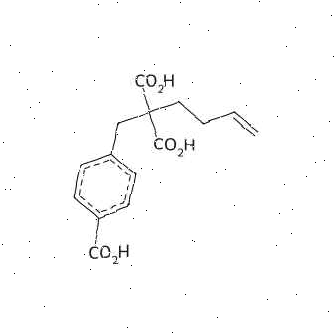 C=CCCC(Cc1ccc(C(=O)O)cc1)(C(=O)O)C(=O)O